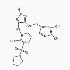 O=S(=O)(c1cccc(Nc2n[s+]([O-])nc2NCc2ccc(O)c(O)c2)c1O)N1CCCC1